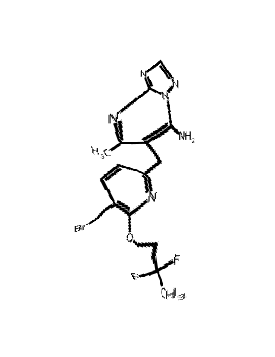 Cc1nc2ncnn2c(N)c1Cc1ccc(Br)c(OCC(C)(F)F)n1